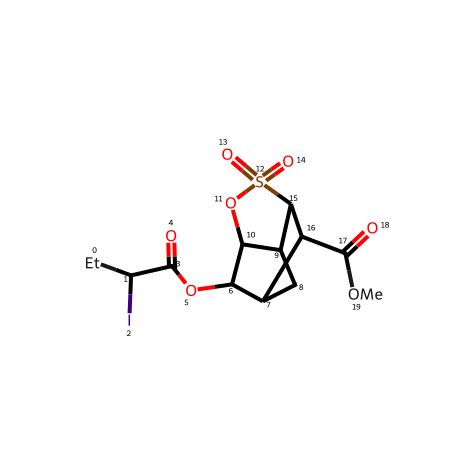 CCC(I)C(=O)OC1C2CC3C1OS(=O)(=O)C3C2C(=O)OC